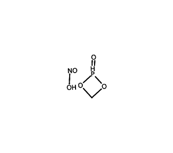 O=NO.O=[PH]1OCO1